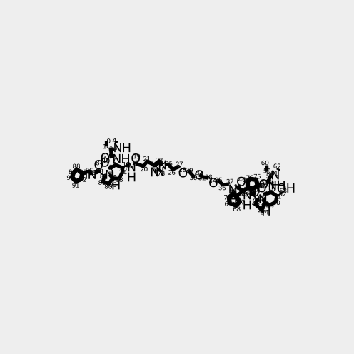 CC[C@H](NC)C(=O)N[C@@H]1C(=O)N2[C@@H](CC[C@@H]1CNC(=O)CCc1cn(CCCOCCOCCOCCCNC(=O)C(NC(=O)[C@@H]3CC[C@@H]4CC[C@H](CO)[C@H](NC(=O)[C@H](CC)NC)C(=O)N43)(c3ccccc3)c3ccccc3)nn1)CC[C@H]2C(=O)NCc1ccccc1